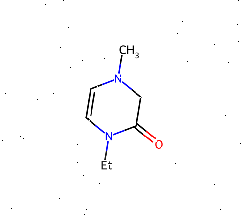 CCN1C=CN(C)CC1=O